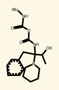 CC(O)C(Cc1ccccc1)(NC(=O)OC(=O)NC(C)(C)C)N1CCCCC1